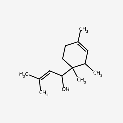 CC(C)=CC(O)C1(C)CCC(C)=CC1C